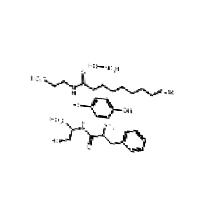 CCCCCCCCCCCCCCCCCC(=O)NCCS(=O)(=O)O.N[C@@H](Cc1ccccc1)C(=O)N[C@@H](CO)C(=O)O.O=S(=O)(O)O.Oc1ccc(O)cc1